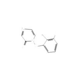 O=c1cnccn1Oc1cccc(Cl)c1Cl